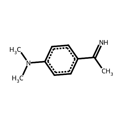 CC(=N)c1ccc(N(C)C)cc1